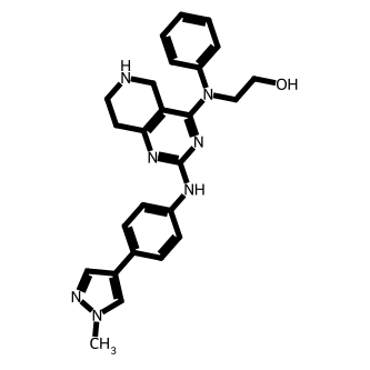 Cn1cc(-c2ccc(Nc3nc4c(c(N(CCO)c5ccccc5)n3)CNCC4)cc2)cn1